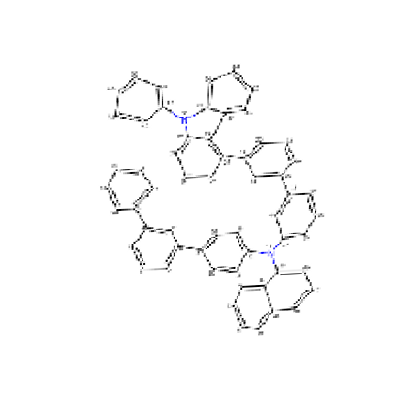 c1ccc(-c2cccc(-c3ccc(N(c4cccc(-c5cccc(-c6cccc7c6c6ccccc6n7-c6ccccc6)c5)c4)c4cccc5ccccc45)cc3)c2)cc1